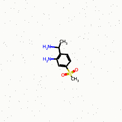 CC(N)c1ccc(S(C)(=O)=O)cc1N